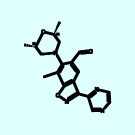 Cc1c(N2C[C@@H](C)O[C@@H](C)C2)c(C=O)cc2c(-c3cnccn3)noc12